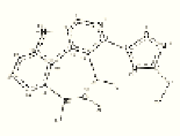 CCc1noc(-c2ncc3[nH]c4cccc(C(C)OC)c4c3c2CC)n1